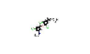 CCC(C)Nc1cc(Cl)cc(COc2c(Cl)cc(CC(=O)O)cc2Cl)c1